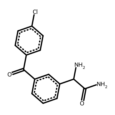 NC(=O)C(N)c1cccc(C(=O)c2ccc(Cl)cc2)c1